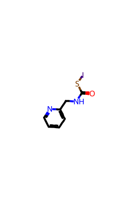 O=C(NCc1ccccn1)SI